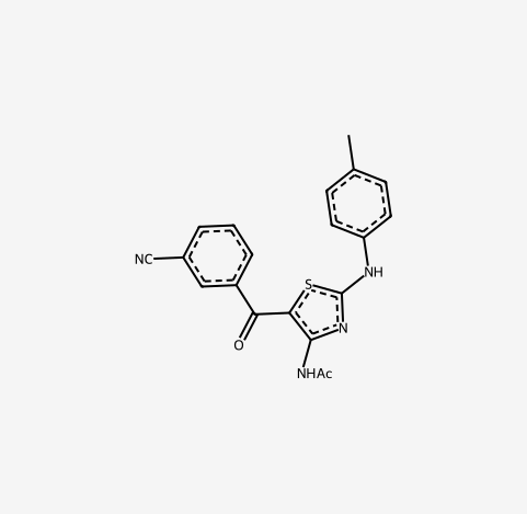 CC(=O)Nc1nc(Nc2ccc(C)cc2)sc1C(=O)c1cccc(C#N)c1